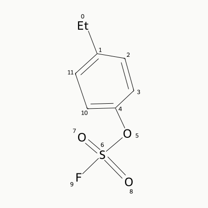 CCc1ccc(OS(=O)(=O)F)cc1